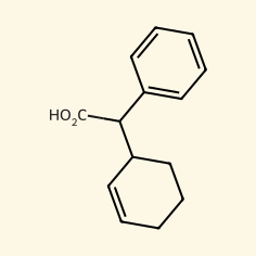 O=C(O)C(c1ccccc1)C1C=CCCC1